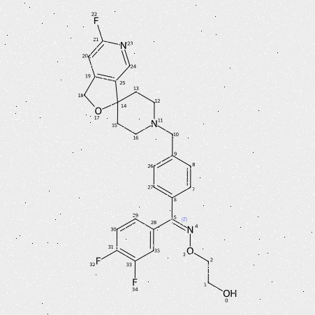 OCCO/N=C(/c1ccc(CN2CCC3(CC2)OCc2cc(F)ncc23)cc1)c1ccc(F)c(F)c1